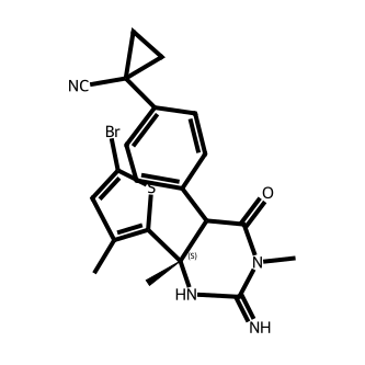 Cc1cc(Br)sc1[C@@]1(C)NC(=N)N(C)C(=O)C1c1ccc(C2(C#N)CC2)cc1